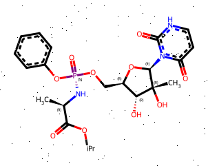 CC(C)OC(=O)[C@@H](C)N[P@](=O)(OC[C@H]1O[C@@H](n2c(=O)cc[nH]c2=O)[C@](C)(O)[C@@H]1O)Oc1ccccc1